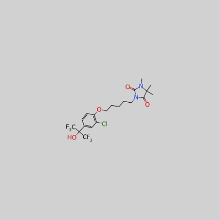 CN1C(=O)N(CCCCCOc2ccc(C(O)(C(F)(F)F)C(F)(F)F)cc2Cl)C(=O)C1(C)C